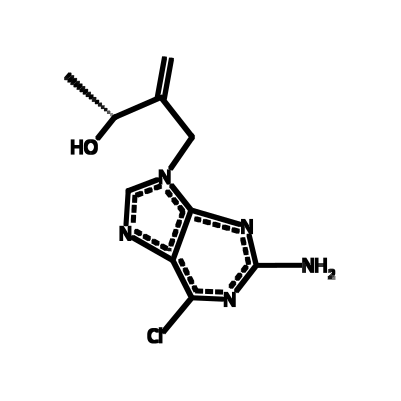 C=C(Cn1cnc2c(Cl)nc(N)nc21)[C@@H](C)O